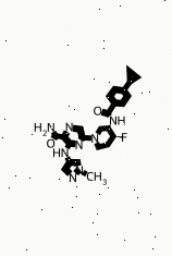 Cn1cc(Nc2nc(N3CC[C@@H](F)[C@@H](NC(=O)c4ccc(C5CC5)cc4)C3)cnc2C(N)=O)cn1